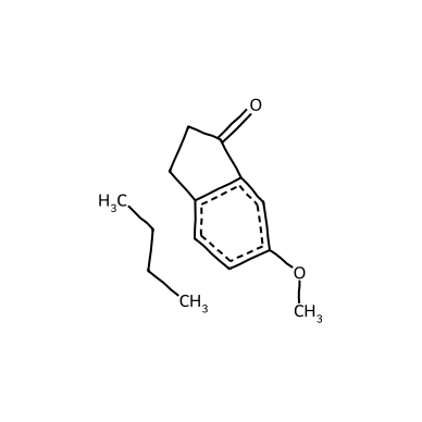 CCCC.COc1ccc2c(c1)C(=O)CC2